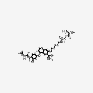 CC(C)[C@H](N)C(=O)SCC(=O)NCCCCCOc1cc2nccc(Oc3ccc(NC(=O)NC4CC4)c(Cl)c3)c2cc1C(N)=O